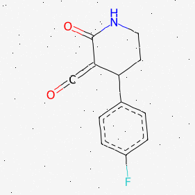 O=C=C1C(=O)NCCC1c1ccc(F)cc1